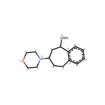 COC1CC(N2CCOCC2)CCc2ccccc21